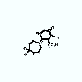 O=C(O)c1c(N2CCCC(F)(F)CC2)ncc(Cl)c1F